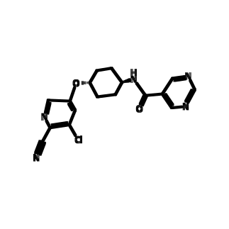 N#Cc1ncc(O[C@H]2CC[C@H](NC(=O)c3cncnc3)CC2)cc1Cl